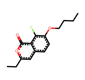 CCCCOc1ccc2cc(CC)oc(=O)c2c1F